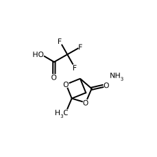 CC12CC(O1)C(=O)O2.N.O=C(O)C(F)(F)F